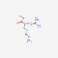 COC(=O)C(N)CCCCN.NC(N)=O